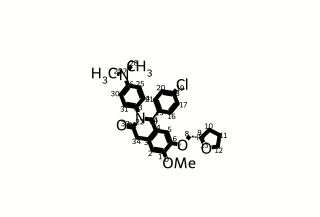 COc1cc2c(cc1OC[C@@H]1CCCO1)[C@H](c1ccc(Cl)cc1)N(c1ccc(N(C)C)cc1)C(=O)C2